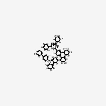 c1ccc(-c2ccc(-n3c4ccccc4c4cc(-c5cccc6c7ccccc7c7cc(-c8nc(-c9ccccc9)nc(-c9ccccc9)n8)ccc7c56)ccc43)cc2)cc1